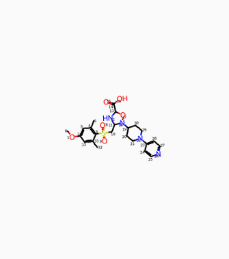 COc1cc(C)c(S(=O)(=O)CC2NC(C(=O)O)ON2C2CCN(c3ccncc3)CC2)c(C)c1